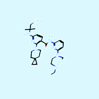 CCN1CCN(c2cccc(NC(=O)c3ccc(NC(C)(C)CO)nc3N3CCC4(CC3)CC4)n2)CC1